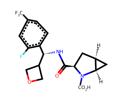 O=C(N[C@@H](c1ccc(C(F)(F)F)cc1F)C1COC1)[C@H]1C[C@H]2C[C@H]2N1C(=O)O